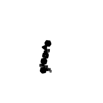 Nc1ccccc1NC(=O)c1ccc(N2CCC(F)(CN[C@@H]3C[C@H]3c3ccccc3)CC2)cc1